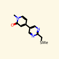 CSCc1ncc(-c2ccn(C)c(=O)c2)cn1